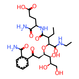 CCNC(=O)C(O[C@H](CC(=O)c1ccccc1C(N)=O)[C@H](O)[C@H](O)CO)C(CC)C(=O)NC(CCC(=O)O)C(N)=O